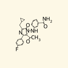 CC(=O)c1c(-c2ccc(F)cc2)nc(CC2CC2)c(=O)n1Nc1cccc(C(N)=O)c1